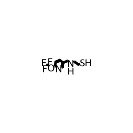 FC(F)(F)Oc1ccc(CNCCS)cn1